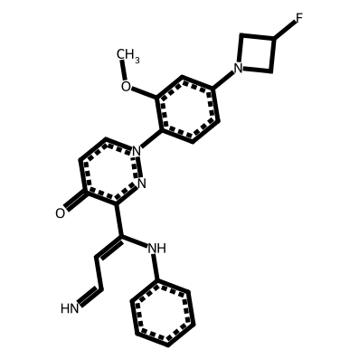 COc1cc(N2CC(F)C2)ccc1-n1ccc(=O)c(/C(=C/C=N)Nc2ccccc2)n1